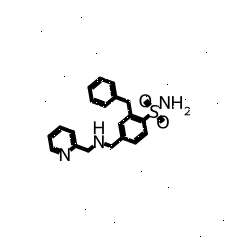 NS(=O)(=O)c1ccc(CNCc2ccccn2)cc1Cc1ccccc1